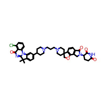 CC1(C)c2ccc(C3CCN(CCCN4CCC5(CC4)COc4c5ccc5c4CN(C4CCC(=O)NC4=O)C5=O)CC3)cc2-n2c1nc(=O)c1c(Cl)cccc12